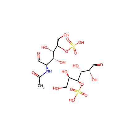 CC(=O)N[C@@H](C=O)[C@@H](O)[C@H](O)[C@@H](CO)OS(=O)(=O)O.O=C[C@H](O)[C@@H](O)[C@@H](OS(=O)(=O)O)[C@H](O)CO